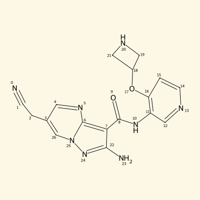 N#CCc1cnc2c(C(=O)Nc3cnccc3OC3CNC3)c(N)nn2c1